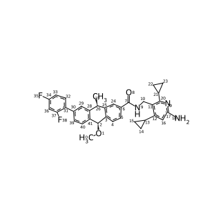 CO[C@@H]1c2ccc(C(=O)NCc3c(C4CC4)cc(N)nc3C3CC3)cc2[C@H](C)c2cc(-c3ccc(F)cc3F)ccc21